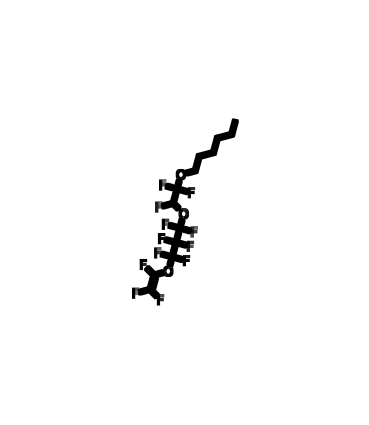 CCCCCCOC(F)(F)C(F)OC(F)(F)C(F)(F)C(F)(F)OC(F)=C(F)F